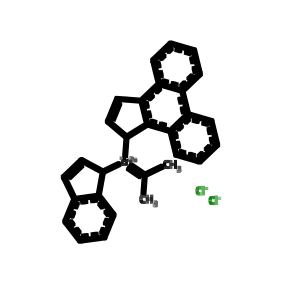 C[C](C)=[Zr+2]([CH]1C=Cc2ccccc21)[CH]1C=Cc2c1c1ccccc1c1ccccc21.[Cl-].[Cl-]